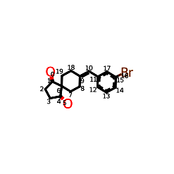 O=C1CCC(=O)C12CCC(=Cc1cccc(Br)c1)CC2